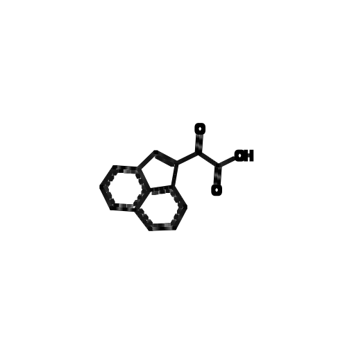 O=C(O)C(=O)C1=Cc2cccc3cccc1c23